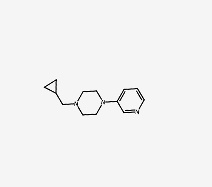 c1cncc(N2CCN(CC3CC3)CC2)c1